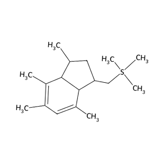 CC1=CC(C)=C(C)C2C(C)CC(CS(C)(C)C)C12